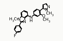 COc1cc(Nc2cccc3c2nc(-c2ccc(F)cc2)n3C)ccc1-c1ccnn1C